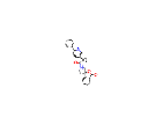 O=C1OC2(CCN(C(=O)C3(c4ccc(-c5ccccc5)nc4)CC3)C2)c2ccccc21